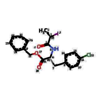 C[C@@H](I)C(=O)N[C@H](Cc1ccc(Cl)cc1)C(=O)OCc1ccccc1